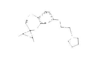 OC1C(O)C12C=NSc1ccc(OCCN3CCCC3)nc1O2